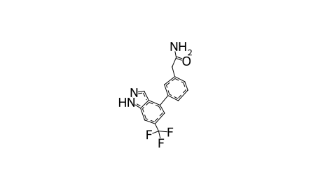 NC(=O)Cc1cccc(-c2cc(C(F)(F)F)cc3[nH]ncc23)c1